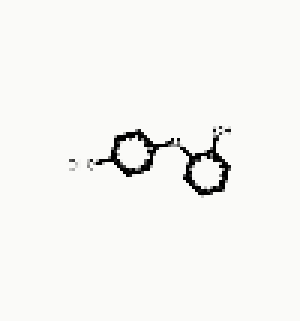 O=Cc1ccc(Oc2ccccc2O)cc1